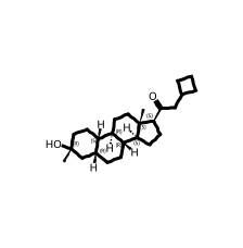 C[C@@]1(O)CC[C@H]2[C@H](CC[C@@H]3[C@@H]2CC[C@]2(C)[C@@H](C(=O)CC4CCC4)CC[C@@H]32)C1